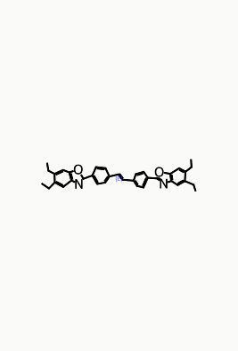 CCc1cc2nc(-c3ccc(/C=C/c4ccc(-c5nc6cc(CC)c(CC)cc6o5)cc4)cc3)oc2cc1CC